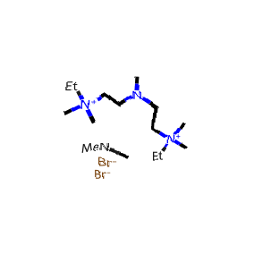 CC[N+](C)(C)CCN(C)CC[N+](C)(C)CC.CNC.[Br-].[Br-]